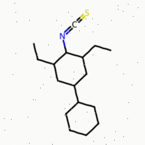 CCC1CC(C2CCCCC2)CC(CC)C1N=C=S